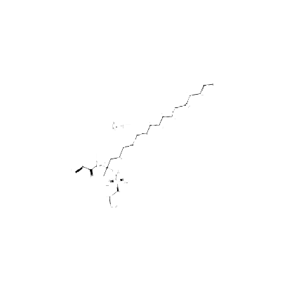 C=CC(=O)NC(C)(CCCCCCCCCCCCCCCC)OS(=O)(=O)CCC.[NaH]